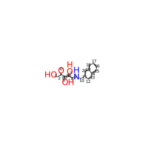 O=C(CO)[C@@H](O)[C@H](O)CNCc1ccc2ccccc2c1